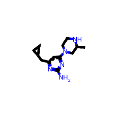 CC1CN(c2cc(CC3CC3)nc(N)n2)CCN1